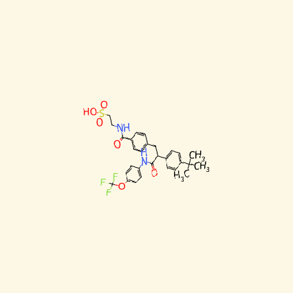 CC(C)(C)c1ccc(C(Cc2ccc(C(=O)NCCS(=O)(=O)O)cc2)C(=O)Nc2ccc(OC(F)(F)F)cc2)cc1